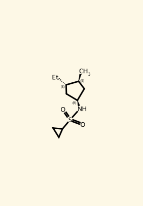 CC[C@H]1C[C@H](NS(=O)(=O)C2CC2)C[C@@H]1C